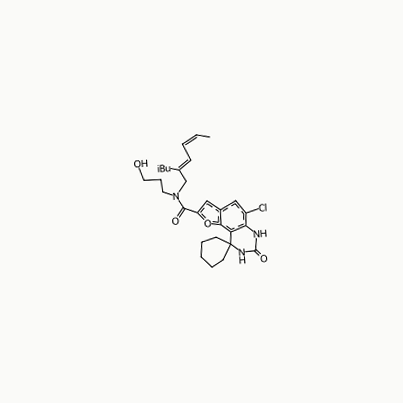 C/C=C\C=C(\CN(CCCO)C(=O)c1cc2cc(Cl)c3c(c2o1)C1(CCCCC1)NC(=O)N3)C(C)CC